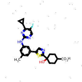 Cc1cc(Nc2ncc(F)c(C3CC3)n2)cc(-c2cnc(C3(O)CCC(C(=O)O)CC3)s2)c1